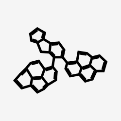 c1ccc2c(c1)Cc1c-2ccc(-c2ccc3ccc4cccc5ccc2c3c45)c1-c1ccc2ccc3cccc4ccc1c2c34